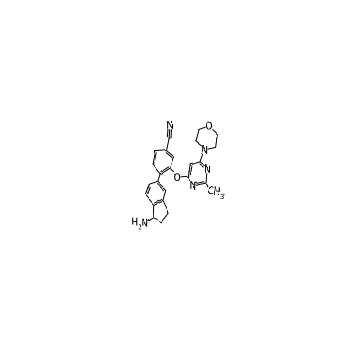 Cc1nc(Oc2cc(C#N)ccc2-c2ccc3c(c2)CCC3N)cc(N2CCOCC2)n1